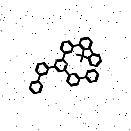 CC1(C)c2ccccc2-c2cccc(-c3cccc(-c4nc(-c5cccc(-c6ccccc6)c5)cc(-c5cccc(-c6ccccc6)c5)n4)c3)c21